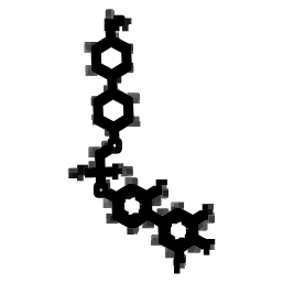 CCCC1CCC(C2CCC(OCC(F)(F)Oc3ccc(-c4cc(F)c(F)c(F)c4)c(F)c3)CC2)CC1